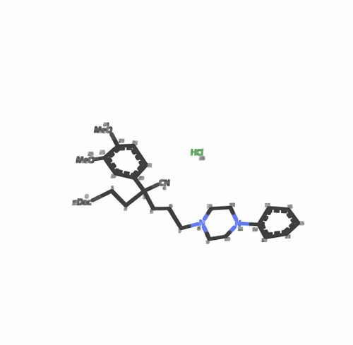 CCCCCCCCCCCCC(C#N)(CCCN1CCN(c2ccccc2)CC1)c1ccc(OC)c(OC)c1.Cl